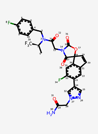 C[C@H](N(Cc1ccc(F)cc1)C(=O)CN1C(=O)OC2(C=Cc3cc(-c4cnn(CC(N)=O)c4)c(F)cc32)C1=O)C(F)(F)F